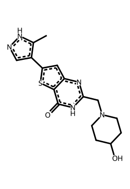 Cc1[nH]ncc1-c1cc2nc(CN3CCC(O)CC3)[nH]c(=O)c2s1